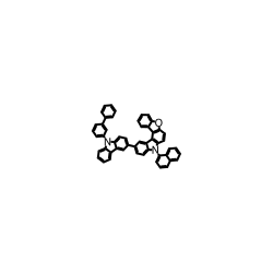 c1ccc(-c2cccc(-n3c4ccccc4c4cc(-c5ccc6c(c5)c5c7c(ccc5n6-c5cccc6ccccc56)oc5ccccc57)ccc43)c2)cc1